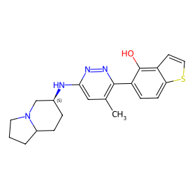 Cc1cc(N[C@H]2CCC3CCCN3C2)nnc1-c1ccc2sccc2c1O